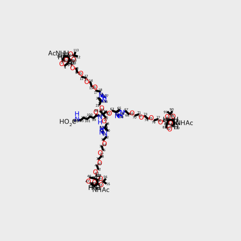 CC(=O)N[C@H]1[C@H]2OC[C@](COCCOCCOCCOCCn3cc(COCC(COCc4cn(CCOCCOCCOCCOC[C@@]56CO[C@@H](O5)[C@H](NC(C)=O)[C@H]5OC(C)(C)O[C@H]56)nn4)(COCc4cn(CCOCCOCCOCCOC[C@@]56CO[C@@H](O5)[C@H](NC(C)=O)[C@H]5OC(C)(C)O[C@H]56)nn4)NC(=O)CCCCCNC(=O)O)nn3)(O2)[C@@H]2OC(C)(C)O[C@H]12